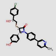 Cc1ccc(-c2ccc(N3C(=O)[C@H](SC[C@H](O)c4ccc(Cl)cc4)[C@H]3c3ccc(O)cc3)cc2)cn1